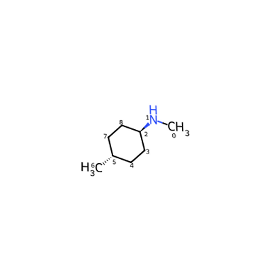 CN[C@H]1CC[C@H](C)CC1